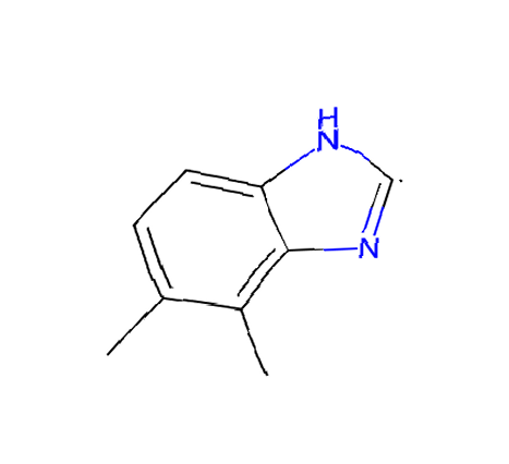 Cc1ccc2[nH][c]nc2c1C